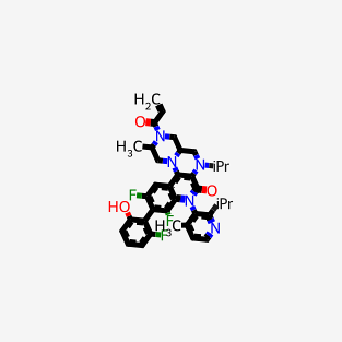 C=CC(=O)N1CC2CN(C(C)C)c3c(c4cc(F)c(-c5c(O)cccc5F)c(F)c4n(-c4c(C)ccnc4C(C)C)c3=O)N2CC1C